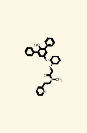 CN(CCc1ccccn1)C(=O)CS[C@@H]1CCCC[C@H]1Sc1cc(-c2ccccc2)c(O)c(-c2ccccc2)c1